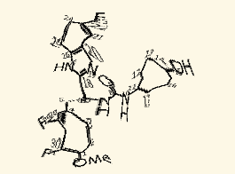 COc1ccc(C[C@@H](NC(=O)NC2CCC(O)CC2)c2nc3cc(F)ccc3[nH]2)c(F)c1F